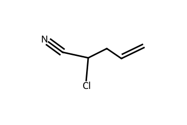 C=CCC(Cl)C#N